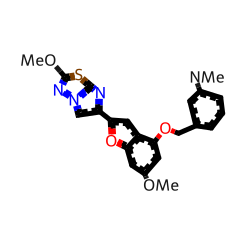 CNc1cccc(COc2cc(OC)cc3oc(-c4cn5nc(OC)sc5n4)cc23)c1